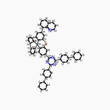 c1ccc(-c2ccc(-c3nc(-c4ccc(-c5ccccc5)cc4)nc(-c4ccc5c(c4)Sc4cc(-c6cccc7cccnc67)ccc4C54c5ccccc5-c5ccccc54)n3)cc2)cc1